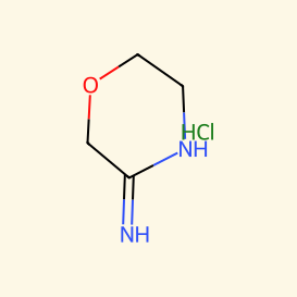 Cl.N=C1COCCN1